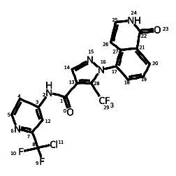 O=C(Nc1ccnc(C(F)(F)Cl)c1)c1cnn(-c2cccc3c(=O)[nH]ccc23)c1C(F)(F)F